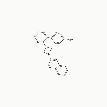 CC(C)c1ccc(-c2nccnc2C2CN(c3ccc4ccccc4n3)C2)cc1